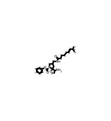 COC1(C(C)N)CC(CNC(=O)CCCCC=CC(C)C)CN1C(=O)Oc1ccccc1